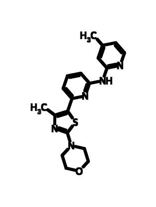 Cc1ccnc(Nc2cccc(-c3sc(N4CCOCC4)nc3C)n2)c1